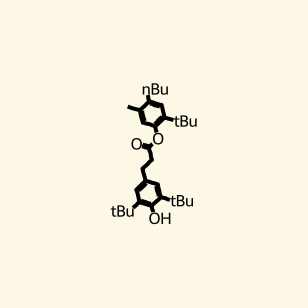 CCCCc1cc(C(C)(C)C)c(OC(=O)CCc2cc(C(C)(C)C)c(O)c(C(C)(C)C)c2)cc1C